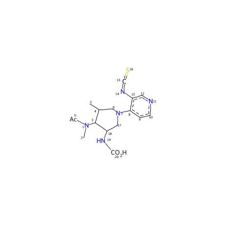 CC(=O)N(C)C1C(C)CN(c2ccncc2N=C=S)CC1NC(=O)O